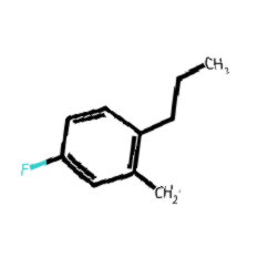 [CH2]c1cc(F)ccc1CCC